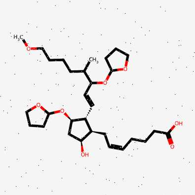 COCCCCC(C)C(/C=C/[C@@H]1[C@@H](C/C=C\CCCC(=O)O)[C@@H](O)C[C@H]1OC1CCCO1)OC1CCCO1